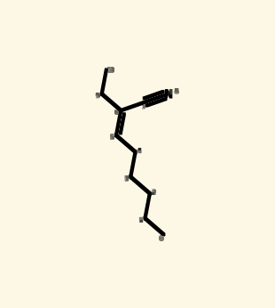 CCCCCC=C(C#N)CC